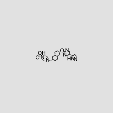 O=C(O)N1CCN(Cc2ccc3cc(Oc4ncc(-c5ccn[nH]5)cn4)ccc3c2)CC1